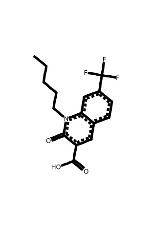 CCCCCn1c(=O)c(C(=O)O)cc2ccc(C(F)(F)F)cc21